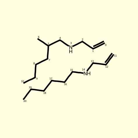 C=CCNCC(C)CCCC.C=CCNCCCCCC